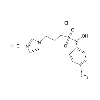 Cc1ccc(N(O)S(=O)(=O)CCCn2cc[n+](C)c2)cc1.[Cl-]